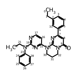 CCc1cccc(-c2cc(=O)n3c(n2)N(c2ccnc(N(CC)c4ccccc4)n2)CCC3)c1